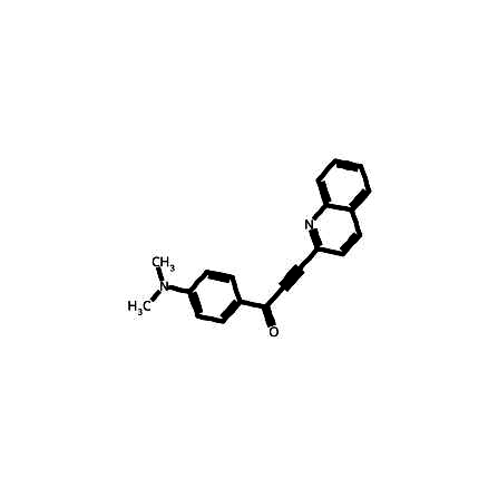 CN(C)c1ccc(C(=O)C#Cc2ccc3ccccc3n2)cc1